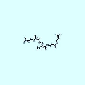 CC(C)=CCCC(C)=CCOC(=O)C(O)OCC=C(C)CCC=C(C)C